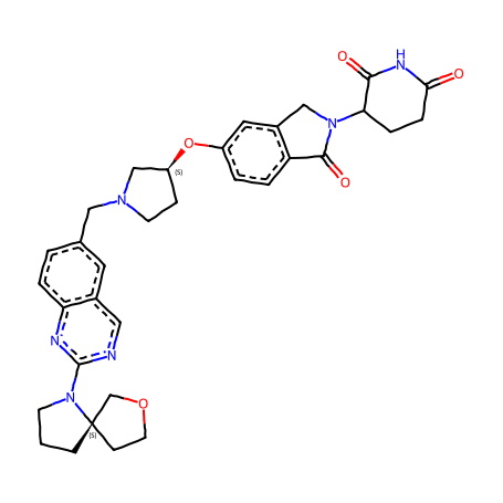 O=C1CCC(N2Cc3cc(O[C@H]4CCN(Cc5ccc6nc(N7CCC[C@@]78CCOC8)ncc6c5)C4)ccc3C2=O)C(=O)N1